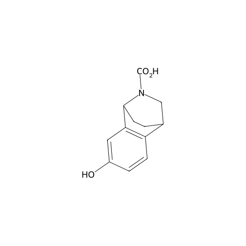 O=C(O)N1CC2CCC1c1cc(O)ccc12